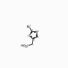 O=C(O)Cc1cnc(Br)s1